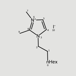 CCCCCCCCn1cc[n+](C)c1C.[I-]